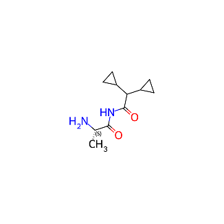 C[C@H](N)C(=O)NC(=O)C(C1CC1)C1CC1